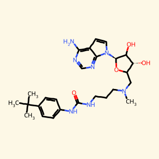 CN(CCCNC(=O)Nc1ccc(C(C)(C)C)cc1)CC1O[C@@H](n2ccc3c(N)ncnc32)C(O)[C@@H]1O